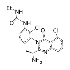 CCNC(=O)Nc1cccc(-n2c([C@H](C)N)nc3cccc(Cl)c3c2=O)c1Cl